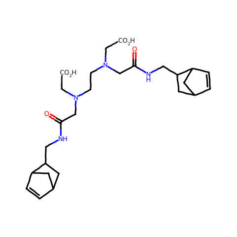 O=C(O)CN(CCN(CC(=O)O)CC(=O)NCC1CC2C=CC1C2)CC(=O)NCC1CC2C=CC1C2